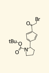 CC(C)(C)OC(=O)N1CCCC1c1ccc(C(=O)CBr)cc1